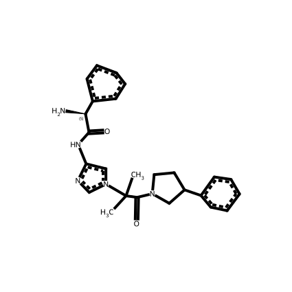 CC(C)(C(=O)N1CCC(c2ccccc2)C1)n1cnc(NC(=O)[C@@H](N)c2ccccc2)c1